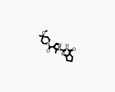 COC1(C)CCN(C(=O)c2cnn(-c3nc4c(c(=O)[nH]3)CCC4)c2C)CC1